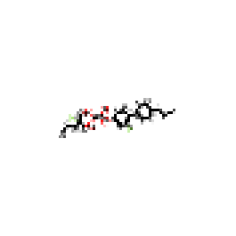 CCCC1CC=C(c2ccc(OC(=O)C3OCC(F)(CCC)CO3)cc2F)CC1